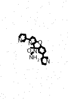 NC1=NC2(CO1)c1cc(-c3cccnc3)ccc1Oc1ccc(-c3cccnc3)nc12